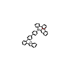 c1ccc(-c2ccccc2N(c2ccc(-c3ccc(-c4ccccc4-c4cc5ccccc5o4)cc3)cc2)c2ccc3ccccc3c2)cc1